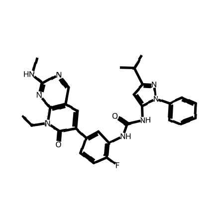 CCn1c(=O)c(-c2ccc(F)c(NC(=O)Nc3cc(C(C)C)nn3-c3ccccc3)c2)cc2cnc(NC)nc21